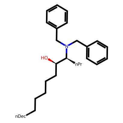 CCCCCCCCCCCCCCC[C@@H](O)[C@H](CCC)N(Cc1ccccc1)Cc1ccccc1